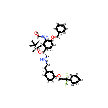 CC(C)(C)[Si](C)(C)O[C@@H](CNCCc1cccc(OCC(F)(F)c2ccccc2)c1)c1ccc(OCc2ccccc2)c(NC=O)c1